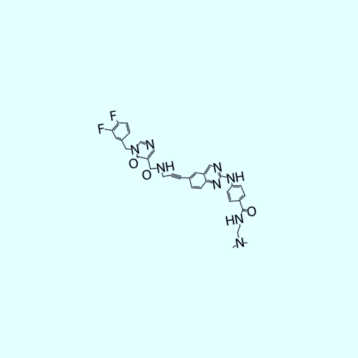 CN(C)CCNC(=O)c1ccc(Nc2ncc3cc(C#CCNC(=O)c4cncn(Cc5ccc(F)c(F)c5)c4=O)ccc3n2)cc1